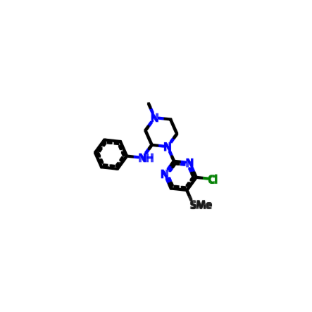 CSc1cnc(N2CCN(C)CC2Nc2ccccc2)nc1Cl